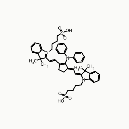 CC1(C)C(/C=C/C2=C(N(c3ccccc3)c3ccccc3)C(=C/C=C3/N(CCCCS(=O)(=O)O)c4ccccc4C3(C)C)/CC2)=[N+](CCCCS(=O)(=O)O)c2ccccc21